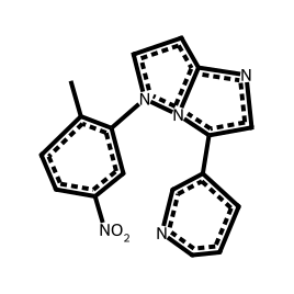 Cc1ccc([N+](=O)[O-])cc1-n1ccc2ncc(-c3cccnc3)n21